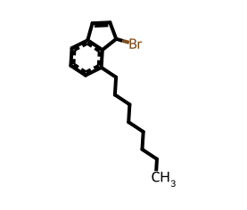 CCCCCCCCc1cccc2c1C(Br)C=C2